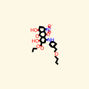 CCCCOCCc1ccc(Nc2cc(C(=O)OCCC)c(O)c3c2C(=O)c2c([N+](=O)[O-])ccc(O)c2C3=O)cc1